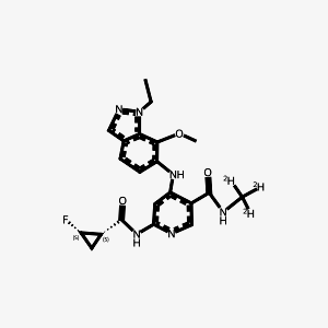 [2H]C([2H])([2H])NC(=O)c1cnc(NC(=O)[C@@H]2C[C@@H]2F)cc1Nc1ccc2cnn(CC)c2c1OC